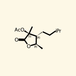 CC(=O)O[C@]1(C)C(=O)O[C@H](C)[C@H]1CCC(C)C